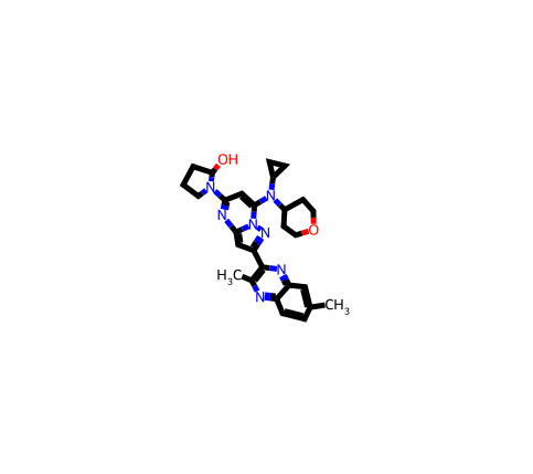 Cc1ccc2nc(C)c(-c3cc4nc(N5CCCC5O)cc(N(C5CCOCC5)C5CC5)n4n3)nc2c1